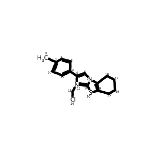 Cc1ccc(-c2cn3c4c(sc3[n+]2CCl)CCCC4)cc1